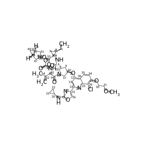 C=C[C@@H]1C[C@]1(NC(=O)[C@@H]1C[C@@H](Oc2cc(-c3coc(NC4CC4)n3)nc3c(Cl)c(OCCOC)ccc23)CN1C(=O)[C@@H](NC(=O)O[C@@H]1C[C@@H]2C[C@@H]2C1)C(=C)C)C(=O)O